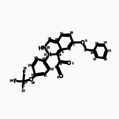 O=CC(=O)C1=c2cc(OCc3ccccc3)ccc2=CNN1c1ccc(OC(F)(F)F)cc1